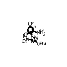 CCN(CC)c1nc(C(C)(C)C)nn1-c1c(N)cc(C(F)(F)F)cc1Cl